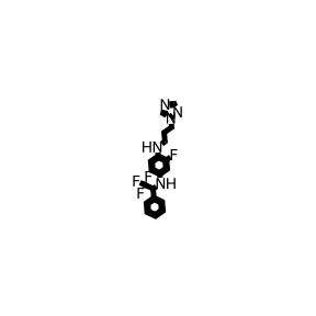 Fc1cc(NC(c2ccccc2)C(F)(F)F)ccc1NCCCn1cncn1